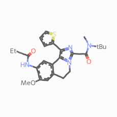 CCC(=O)Nc1cc2c(cc1OC)CCn1c(C(=O)N(C)C(C)(C)C)nc(-c3cccs3)c1-2